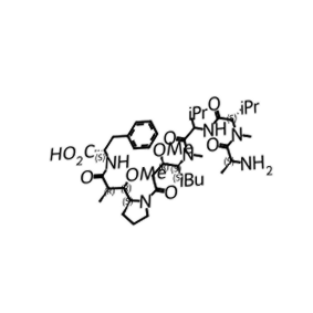 CC[C@H](C)[C@@H]([C@@H](CC(=O)N1CCC[C@H]1[C@H](OC)[C@@H](C)C(=O)N[C@@H](Cc1ccccc1)C(=O)O)OC)N(C)C(=O)C(NC(=O)[C@H](C(C)C)N(C)C(=O)[C@H](C)N)C(C)C